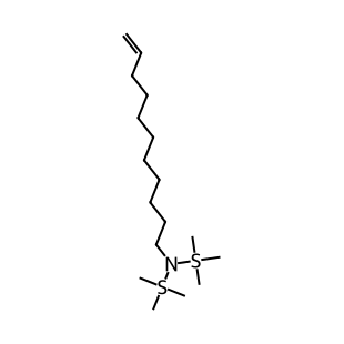 C=CCCCCCCCCCN(S(C)(C)C)S(C)(C)C